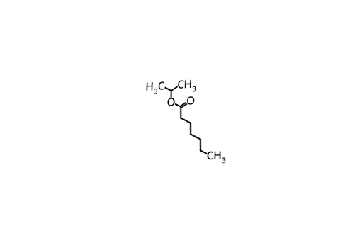 CCCCCCC(=O)OC(C)C